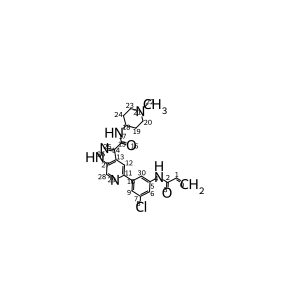 C=CC(=O)Nc1cc(Cl)cc(-c2cc3c(C(=O)NC4CCN(C)CC4)n[nH]c3cn2)c1